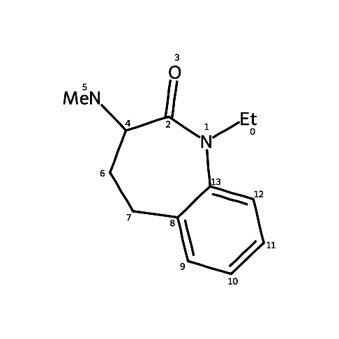 CCN1C(=O)C(NC)CCc2ccccc21